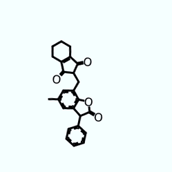 Cc1cc(CC2C(=O)C3=C(CCCC3)C2=O)c2c(c1)C(c1ccccc1)C(=O)O2